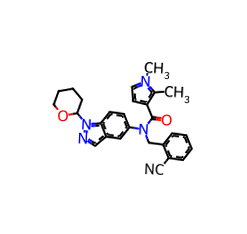 Cc1c(C(=O)N(Cc2ccccc2C#N)c2ccc3c(cnn3C3CCCCO3)c2)ccn1C